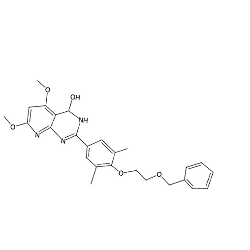 COc1cc(OC)c2c(n1)N=C(c1cc(C)c(OCCOCc3ccccc3)c(C)c1)NC2O